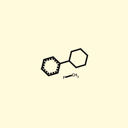 CF.[c]1ccc(C2CCCCC2)cc1